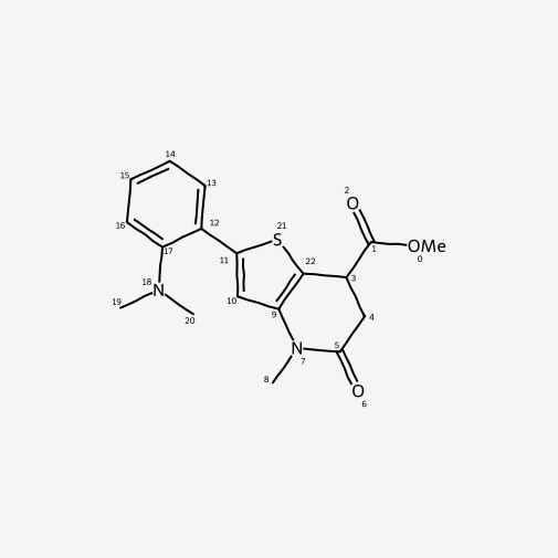 COC(=O)C1CC(=O)N(C)c2cc(-c3ccccc3N(C)C)sc21